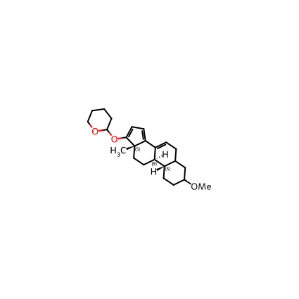 COC1CC[C@H]2C(CC=C3C4=CC=C(OC5CCCCO5)[C@@]4(C)CC[C@@H]32)C1